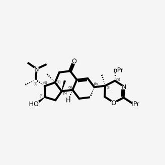 CCC[C@@H]1N=C(C(C)C)OC[C@@]1(C)[C@H]1C=C2C(=O)C[C@]3(C)[C@@H]([C@H](C)N(C)C)[C@H](O)C[C@@]3(C)[C@@H]2CC1